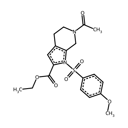 CCOC(=O)c1cc2c(n1S(=O)(=O)c1ccc(OC)cc1)CN(C(C)=O)CC2